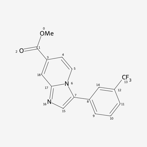 COC(=O)c1ccn2c(-c3cccc(C(F)(F)F)c3)cnc2c1